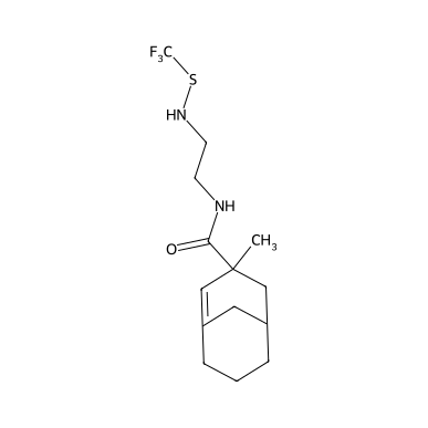 CC1(C(=O)NCCNSC(F)(F)F)C=C2CCCC(C2)C1